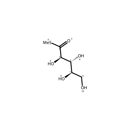 CSC(=O)[C@H](O)[C@H](O)[C@H](O)CO